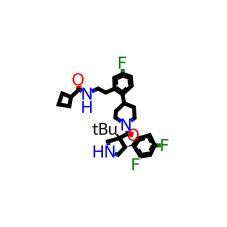 CC(C)(C)[C@]1(C(=O)N2CCC(c3ccc(F)cc3CCNC(=O)C3CCC3)CC2)CNC[C@H]1c1ccc(F)cc1F